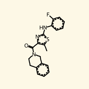 Cc1sc(Nc2ccccc2F)nc1C(=O)N1CCc2ccccc2C1